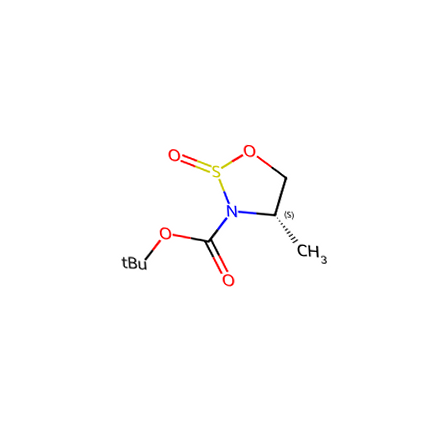 C[C@H]1COS(=O)N1C(=O)OC(C)(C)C